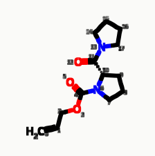 C=CCOC(=O)N1CCC[C@H]1C(=O)N1CCCC1